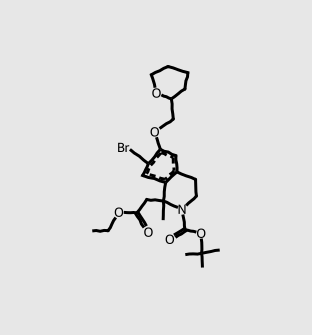 CCOC(=O)CC1(C)c2cc(Br)c(OCC3CCCCO3)cc2CCN1C(=O)OC(C)(C)C